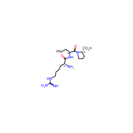 N=C(N)NCCCC[C@H](N)C(=O)N[C@@H](C[SeH])C(=O)N1CCC[C@H]1C(=O)O